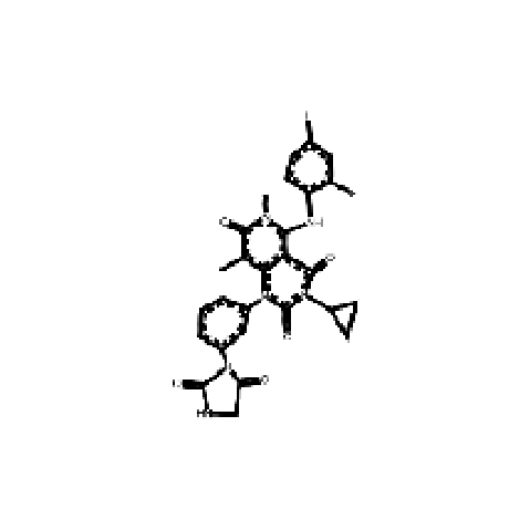 Cc1c(=O)n(C)c(Nc2ccc(I)cc2F)c2c(=O)n(C3CC3)c(=O)n(-c3cccc(N4C(=O)CNC4=O)c3)c12